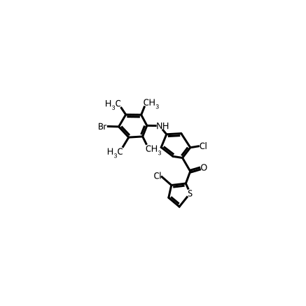 Cc1c(C)c(Nc2ccc(C(=O)c3sccc3Cl)c(Cl)c2)c(C)c(C)c1Br